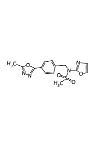 Cc1nnc(-c2ccc(CN(c3ncco3)S(C)(=O)=O)cc2)o1